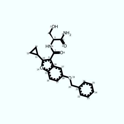 NC(=O)[C@H](CO)NC(=O)c1c(C2CC2)oc2ccc(OCc3ccccc3)cc12